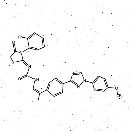 CC(=CNC(=O)/N=C1\SCC(=O)N1c1ccccc1C(C)C)c1ccc(-c2ncn(-c3ccc(OC(F)(F)F)cc3)n2)cc1